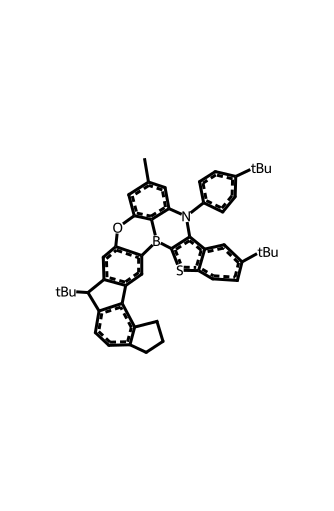 Cc1cc2c3c(c1)N(c1ccc(C(C)(C)C)cc1)c1c(sc4ccc(C(C)(C)C)cc14)B3c1cc3c(cc1O2)C(C(C)(C)C)c1ccc2c(c1-3)CCC2